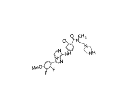 COc1ccc(-c2cnc3c(Nc4ccc(C(=O)N(C)CCN5CCNCC5)c(Cl)c4)nccn23)c(F)c1F